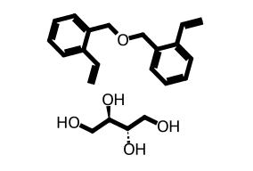 C=Cc1ccccc1COCc1ccccc1C=C.OC[C@@H](O)[C@@H](O)CO